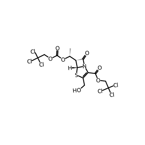 C[C@@H](OC(=O)OCC(Cl)(Cl)Cl)[C@@H]1C(=O)N2C(C(=O)OCC(Cl)(Cl)Cl)=C(CO)S[C@H]12